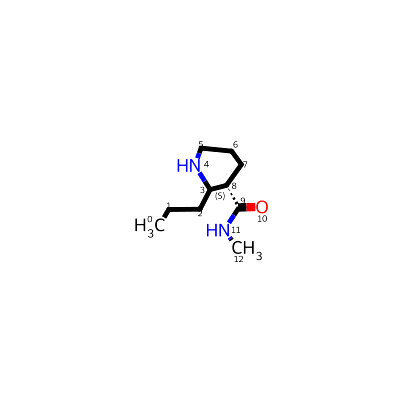 CCCC1NCCC[C@@H]1C(=O)NC